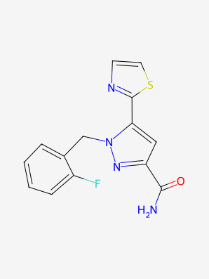 NC(=O)c1cc(-c2nccs2)n(Cc2ccccc2F)n1